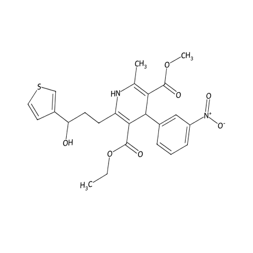 CCOC(=O)C1=C(CCC(O)c2ccsc2)NC(C)=C(C(=O)OC)C1c1cccc([N+](=O)[O-])c1